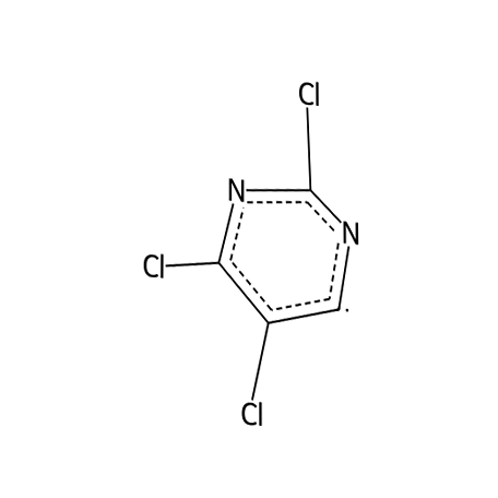 Clc1n[c]c(Cl)c(Cl)n1